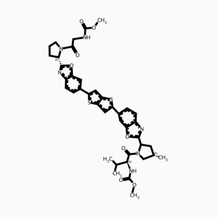 COC(=O)NCC(=O)N1CCC[C@H]1c1nc2ccc(-c3cc4sc(-c5ccc6nc(C7C[C@H](C)CN7C(=O)[C@@H](NC(=O)OC)C(C)C)oc6c5)cc4s3)cc2o1